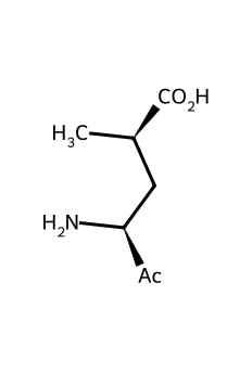 CC(=O)[C@@H](N)C[C@@H](C)C(=O)O